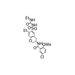 CCNC(=O)NS(=O)(=O)c1cc2c(cc1CC)OCC(NC(=O)c1cc(Cl)ccc1OC)C2